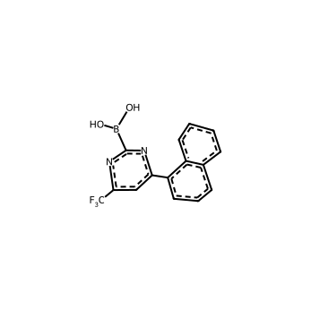 OB(O)c1nc(-c2cccc3ccccc23)cc(C(F)(F)F)n1